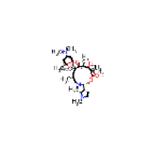 CO[C@]1(C)C[C@@H](C)CN(C)[C@@H]([C@@H]2CCN(C)C2)COC(=O)C(C)(C)C(=O)[C@H](C)[C@H]1O[C@H]1C[C@@H](N(C)C)C[C@@H](C)O1